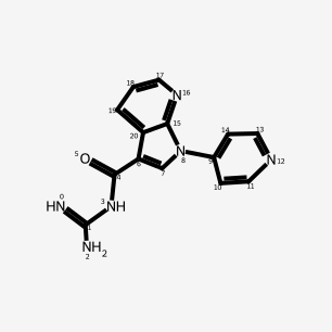 N=C(N)NC(=O)c1cn(-c2ccncc2)c2ncccc12